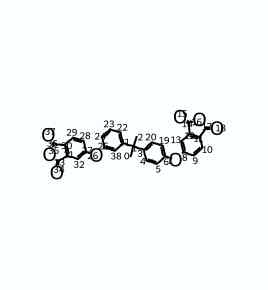 CC(C)(c1ccc(Oc2ccc3c(c2)C(=O)OC3=O)cc1)c1cccc(Oc2ccc3c(c2)C(=O)OC3=O)c1